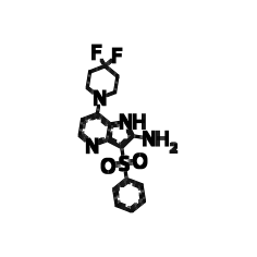 Nc1[nH]c2c(N3CCC(F)(F)CC3)ccnc2c1S(=O)(=O)c1ccccc1